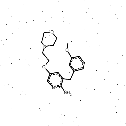 COc1cccc(Cc2cc(OCCN3CCOCC3)cnc2N)c1